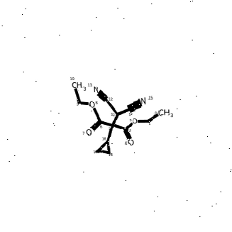 CCOC(=O)C(C(=O)OCC)(C(C#N)C#N)C1CC1